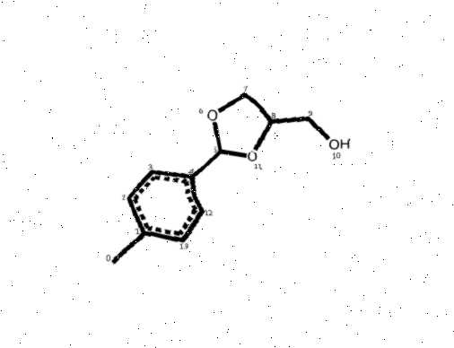 Cc1ccc(C2OCC(CO)O2)cc1